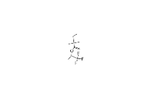 C=C(OC(C)C(F)(F)F)C(C)(C)CC